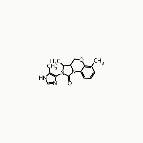 Cc1cccc2c1OCC1C(C)N(c3nc[nH]c3C)C(=O)N21